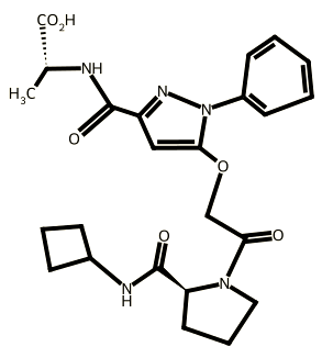 C[C@@H](NC(=O)c1cc(OCC(=O)N2CCC[C@H]2C(=O)NC2CCC2)n(-c2ccccc2)n1)C(=O)O